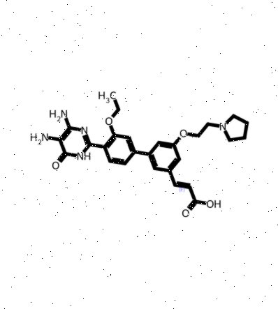 CCOc1cc(-c2cc(/C=C/C(=O)O)cc(OCCN3CCCC3)c2)ccc1-c1nc(N)c(N)c(=O)[nH]1